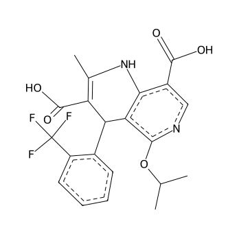 CC1=C(C(=O)O)C(c2ccccc2C(F)(F)F)c2c(OC(C)C)ncc(C(=O)O)c2N1